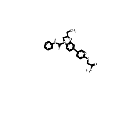 CCC1CN(C(=O)Nc2ccccc2)c2ccc(-c3ccc(SCC(C)=O)nc3)cc2O1